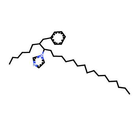 CCCCCCCCCCCCCCCCC(C(CCCCCC)Cc1ccccc1)n1ccnc1